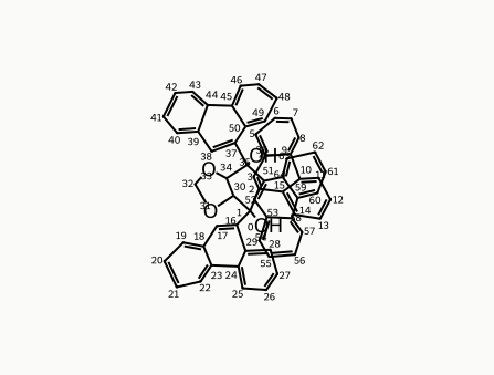 OC(c1cc2ccccc2c2ccccc12)(c1cc2ccccc2c2ccccc12)C1OCOC1C(O)(c1cc2ccccc2c2ccccc12)c1cc2ccccc2c2ccccc12